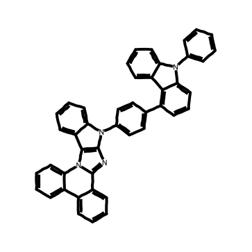 c1ccc(-n2c3ccccc3c3c(-c4ccc(-n5c6ccccc6c6c5nc5c7ccccc7c7ccccc7n56)cc4)cccc32)cc1